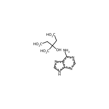 Nc1ncnc2[nH]cnc12.O=C(O)CC(O)(CC(=O)O)C(=O)O